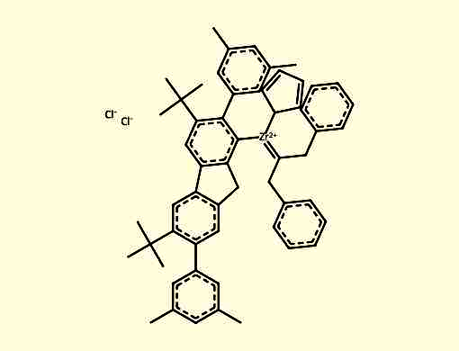 Cc1cc(C)cc(-c2cc3c(cc2C(C)(C)C)-c2cc(C(C)(C)C)c(-c4cc(C)cc(C)c4)[c]([Zr+2](=[C](Cc4ccccc4)Cc4ccccc4)[CH]4C=CC=C4)c2C3)c1.[Cl-].[Cl-]